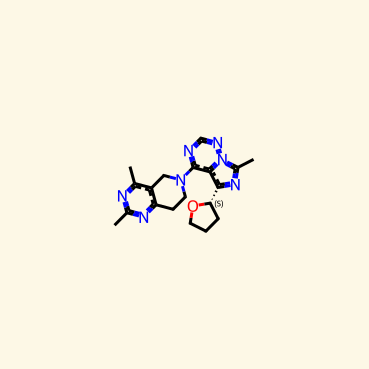 Cc1nc(C)c2c(n1)CCN(c1ncnn3c(C)nc([C@@H]4CCCO4)c13)C2